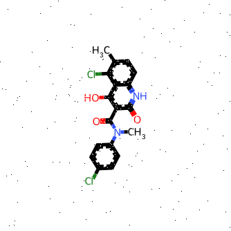 Cc1ccc2[nH]c(=O)c(C(=O)N(C)c3ccc(Cl)cc3)c(O)c2c1Cl